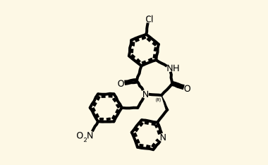 O=C1Nc2cc(Cl)ccc2C(=O)N(Cc2cccc([N+](=O)[O-])c2)[C@@H]1Cc1ccccn1